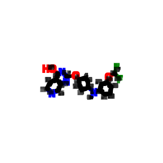 CN(c1ccc(Oc2nc(O)c3ccncc3n2)cc1)c1cccc(OC(F)F)c1